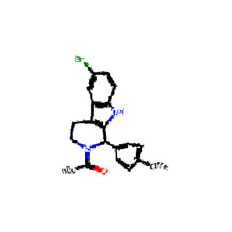 CCCCC(=O)N1CCc2c([nH]c3ccc(Br)cc23)C1c1ccc(OC)cc1